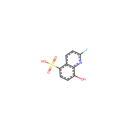 O=S(=O)(O)c1ccc(O)c2nc(F)ccc12